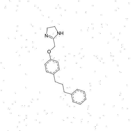 c1ccc(CCCc2ccc(OCC3=NCCN3)cc2)cc1